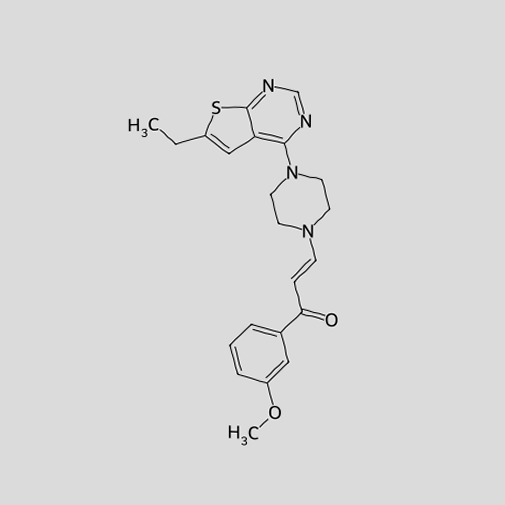 CCc1cc2c(N3CCN(C=CC(=O)c4cccc(OC)c4)CC3)ncnc2s1